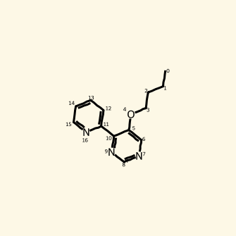 CCCCOc1cn[c]nc1-c1ccccn1